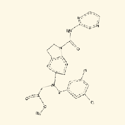 CC(C)(C)OC(=O)CN(Sc1cc(Cl)cc(Cl)c1)c1ccc2c(c1)CCN2C(=O)Nc1cnccn1